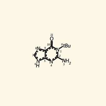 CC(C)(C)n1c(N)nc2[nH]cnc2c1=O